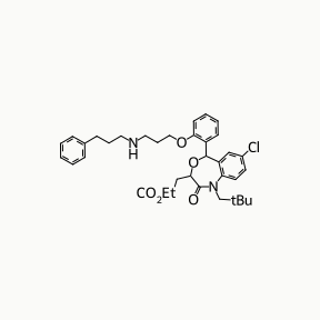 CCOC(=O)CC1OC(c2ccccc2OCCCNCCCc2ccccc2)c2cc(Cl)ccc2N(CC(C)(C)C)C1=O